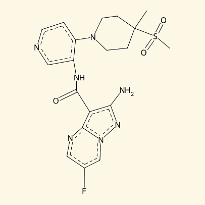 CC1(S(C)(=O)=O)CCN(c2ccncc2NC(=O)c2c(N)nn3cc(F)cnc23)CC1